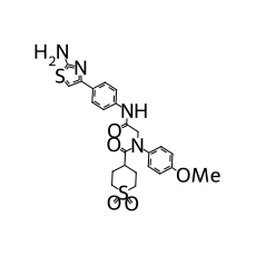 COc1ccc(N(CC(=O)Nc2ccc(-c3csc(N)n3)cc2)C(=O)C2CCS(=O)(=O)CC2)cc1